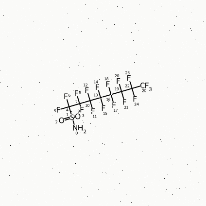 NS(=O)(=O)C(F)(F)C(F)(F)C(F)(F)C(F)(F)C(F)(F)C(F)(F)C(F)(F)C(F)(F)F